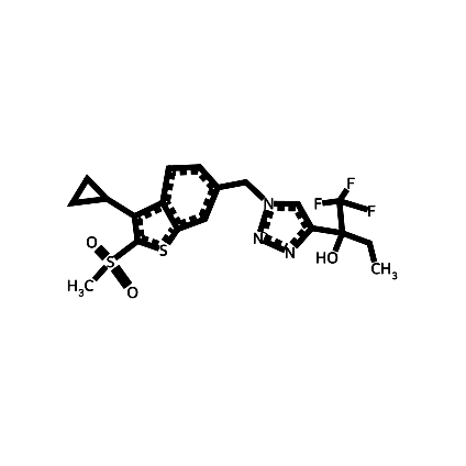 CCC(O)(c1cn(Cc2ccc3c(C4CC4)c(S(C)(=O)=O)sc3c2)nn1)C(F)(F)F